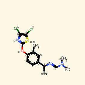 CCN(C)C=NC(c1ccc(Oc2nc(Cl)c(Cl)s2)c(C)c1)C(C)C